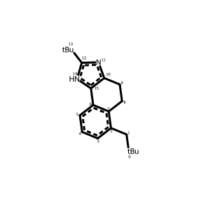 CC(C)(C)Cc1cccc2c1CCc1nc(C(C)(C)C)[nH]c1-2